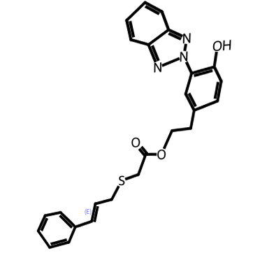 O=C(CSC/C=C/c1ccccc1)OCCc1ccc(O)c(-n2nc3ccccc3n2)c1